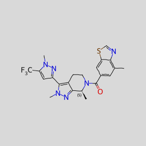 Cc1cc(C(=O)N2CCc3c(nn(C)c3-c3cc(C(F)(F)F)n(C)n3)[C@@H]2C)cc2scnc12